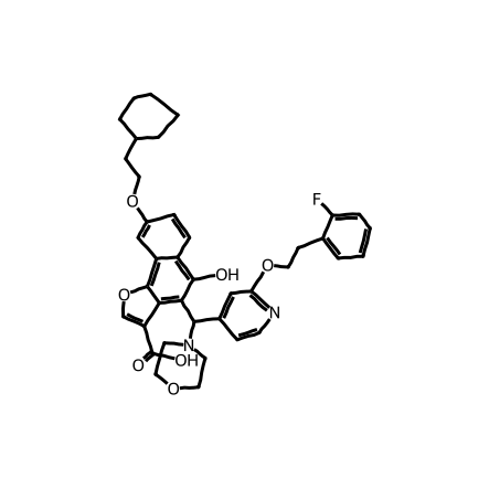 O=C(O)c1coc2c1c(C(c1ccnc(OCCc3ccccc3F)c1)N1CCOCC1)c(O)c1ccc(OCCC3CCCCC3)cc12